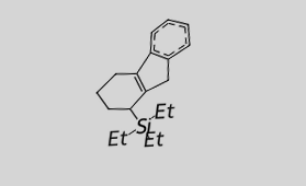 CC[Si](CC)(CC)C1CCCC2=C1Cc1ccccc12